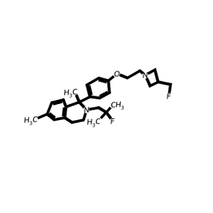 Cc1ccc2c(c1)CCN(CC(C)(C)F)C2(C)c1ccc(OCCN2CC(CF)C2)cc1